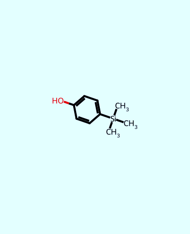 C[Si](C)(C)c1ccc(O)cc1